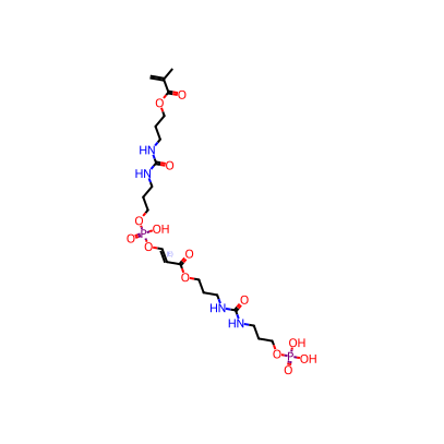 C=C(C)C(=O)OCCCNC(=O)NCCCOP(=O)(O)O/C=C/C(=O)OCCCNC(=O)NCCCOP(=O)(O)O